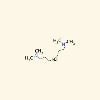 CN(C)CC[CH2][Ba][CH2]CCN(C)C